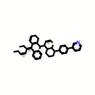 C/C=C\C(C(C)C1=C(/C(=C(/C=C\CC)CC)c2ccccc2)C=CCC1)C1CCCC(c2ccc(-c3cccnc3)cc2)C1C